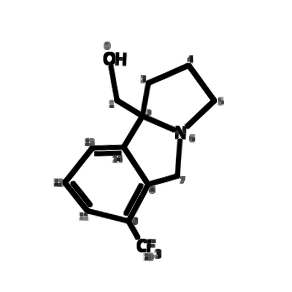 OCC12CCCN1Cc1c(C(F)(F)F)cccc12